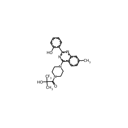 Cc1ccc2c(N3CCN(C(=O)C(C)(O)C(F)(F)F)CC3)nc(-c3ccccc3O)nc2c1